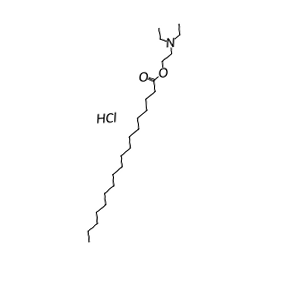 CCCCCCCCCCCCCCCCCC(=O)OCCN(CC)CC.Cl